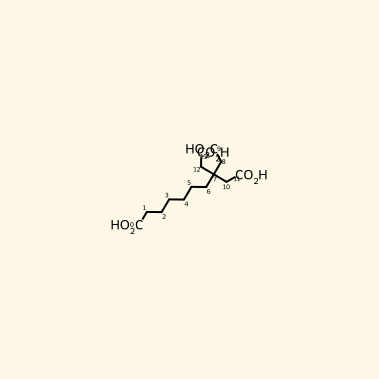 O=C(O)CCCCCCC(CC(=O)O)(CC(=O)O)CC(=O)O